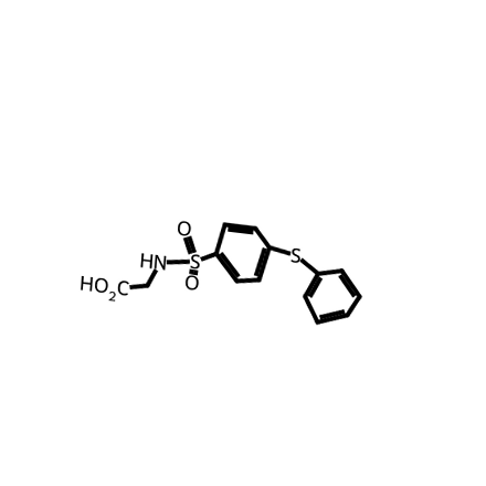 O=C(O)CNS(=O)(=O)c1ccc(Sc2ccccc2)cc1